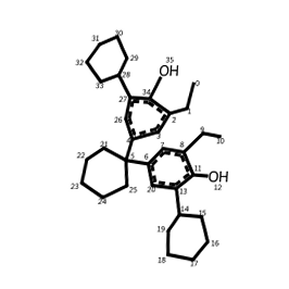 CCc1cc(C2(c3cc(CC)c(O)c(C4CCCCC4)c3)CCCCC2)cc(C2CCCCC2)c1O